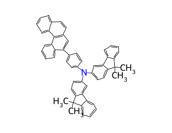 CC1(C)c2ccccc2-c2cc(N(c3ccc(-c4cc5ccc6ccccc6c5c5ccccc45)cc3)c3ccc4c(c3)-c3ccccc3C4(C)C)ccc21